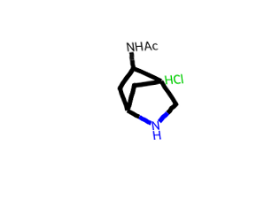 CC(=O)NC1CC2CC1CN2.Cl